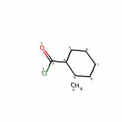 C.O=C(Cl)C1CCCCC1